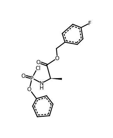 C[C@@H](NP(=O)(Cl)Oc1ccccc1)C(=O)OCc1ccc(F)cc1